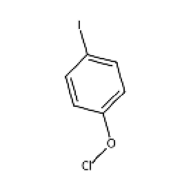 ClOc1ccc(I)cc1